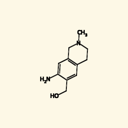 CN1CCc2cc(CO)c(N)cc2C1